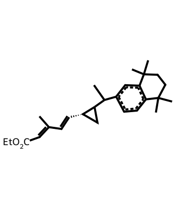 CCOC(=O)/C=C(C)/C=C/[C@H]1CC1C(C)c1ccc2c(c1)C(C)(C)CCC2(C)C